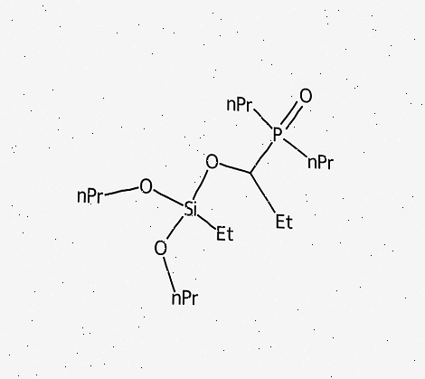 CCCO[Si](CC)(OCCC)OC(CC)P(=O)(CCC)CCC